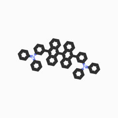 c1ccc(N(c2ccccc2)c2cccc(-c3c4ccccc4c(-c4c5ccccc5c(-c5cccc(N(c6ccccc6)c6ccccc6)c5)c5ccccc45)c4ccccc34)c2)cc1